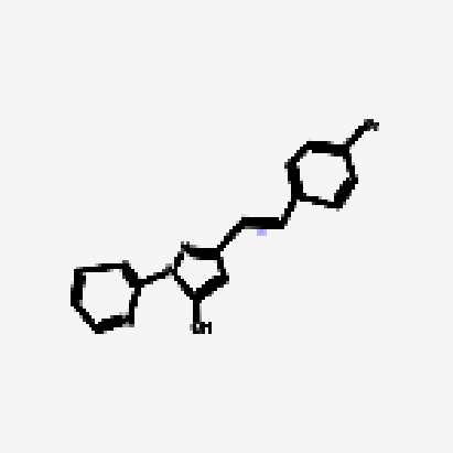 CC(C)c1ccc(/C=C/c2cc(O)n(-c3ccccn3)n2)cc1